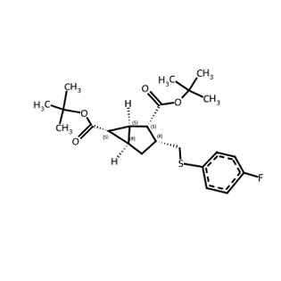 CC(C)(C)OC(=O)[C@@H]1[C@H](CSc2ccc(F)cc2)C[C@H]2[C@H](C(=O)OC(C)(C)C)[C@H]21